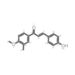 COc1ccc(C(=O)C=Cc2ccc(O)cc2)cc1C